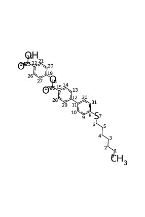 CCCCCCCSc1ccc(-c2ccc(C(=O)Oc3ccc(C(=O)O)cc3)cc2)cc1